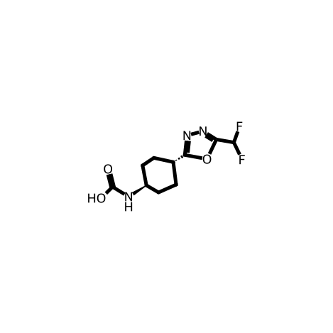 O=C(O)N[C@H]1CC[C@H](c2nnc(C(F)F)o2)CC1